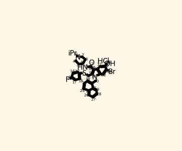 CC(C)N1CCC(NC(=O)c2c(CSc3ccc(F)cc3)n(Cc3cccc4ccccc34)c3cc(Br)c(O)cc23)CC1.Cl